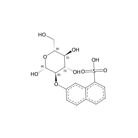 O=S(=O)(O)c1cccc2ccc(O[C@@H]3[C@@H](O)[C@H](O)[C@@H](CO)O[C@H]3O)cc12